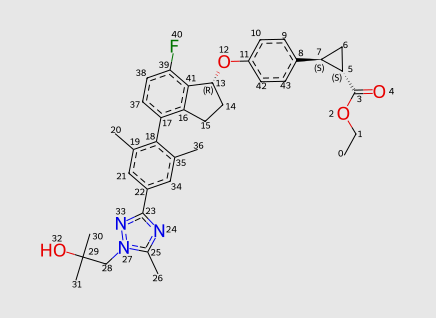 CCOC(=O)[C@H]1C[C@@H]1c1ccc(O[C@@H]2CCc3c(-c4c(C)cc(-c5nc(C)n(CC(C)(C)O)n5)cc4C)ccc(F)c32)cc1